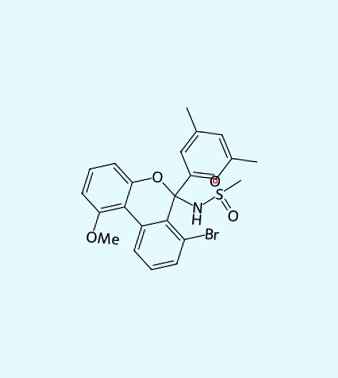 COc1cccc2c1-c1cccc(Br)c1C(NS(C)(=O)=O)(c1cc(C)cc(C)c1)O2